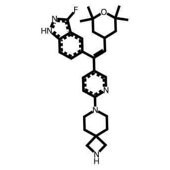 CC1(C)CC(C=C(c2ccc(N3CCC4(CC3)CNC4)nc2)c2ccc3[nH]nc(F)c3c2)CC(C)(C)O1